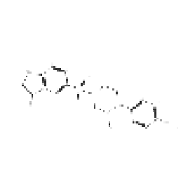 C[C@H]1CN(S(=O)(=O)c2ccc3c(c2)C(C=O)CC3)CCN1c1ccc(C(F)(F)F)cc1